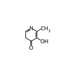 CC1=C(O)C(=O)CC=N1